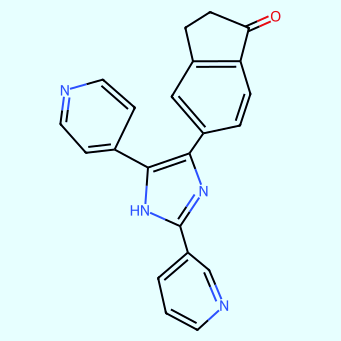 O=C1CCc2cc(-c3nc(-c4cccnc4)[nH]c3-c3ccncc3)ccc21